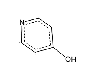 Oc1[c][c]ncc1